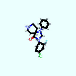 O=C1N(c2ccc(Cl)cc2F)CN(c2ccccc2)C12CCNCC2